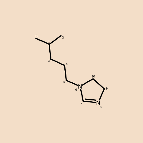 CC(C)CCCN1C=NCC1